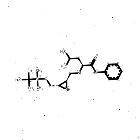 CC(C)C[C@H](NC[C@H]1N[C@@H]1CO[Si](C)(C)C(C)(C)C)C(=O)Nc1ccccc1